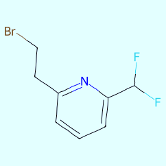 FC(F)c1cccc(CCBr)n1